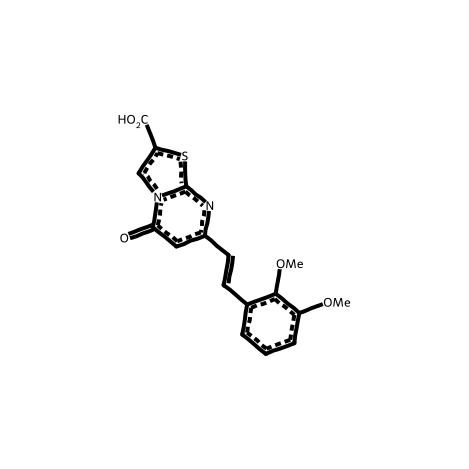 COc1cccc(/C=C/c2cc(=O)n3cc(C(=O)O)sc3n2)c1OC